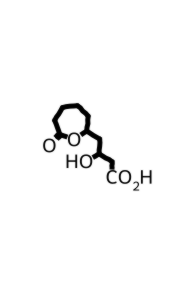 O=C(O)CC(O)CC1CCCCC(=O)O1